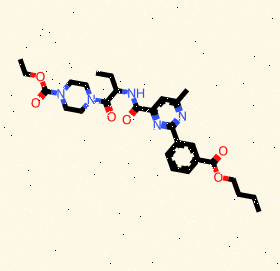 CCCCOC(=O)c1cccc(-c2nc(C)cc(C(=O)NC(CC)C(=O)N3CCN(C(=O)OCC)CC3)n2)c1